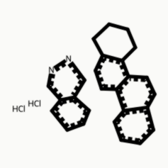 Cl.Cl.c1ccc2c(c1)ccc1c3c(ccc12)CCCC3.c1ccc2cnncc2c1